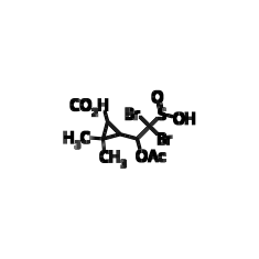 CC(=O)OC(C1C(C(=O)O)C1(C)C)C(Br)(Br)S(=O)O